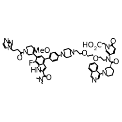 COc1cc(N2CCN(CCOCCOCCN(C(=O)[C@H]3CCCN(c4cncc5ccccc45)C3)c3ccc(=O)n(CC(=O)O)c3)CC2)ccc1-c1cc(C2=CCCN(C(=O)CCn3ccnn3)C2)c(F)c2[nH]c(C(=O)N(C)C)cc12